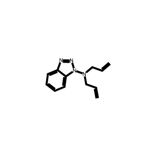 C=CCN(CC=C)n1nnc2ccccc21